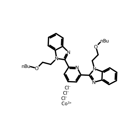 CCCCOCCn1c(-c2cccc(-c3nc4ccccc4n3CCOCCCC)n2)nc2ccccc21.[Cl-].[Cl-].[Cl-].[Co+3]